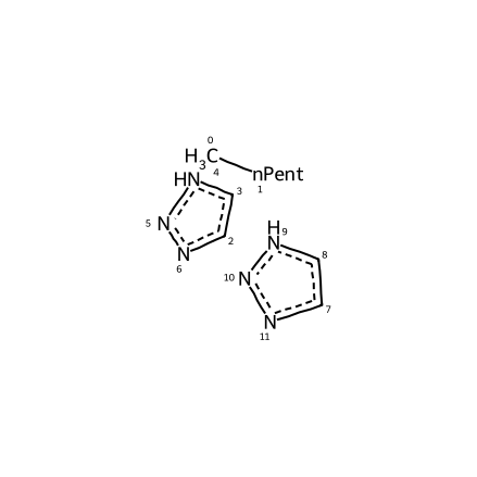 CCCCCC.c1c[nH]nn1.c1c[nH]nn1